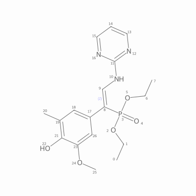 CCOP(=O)(OCC)/C(=C\Nc1ncccn1)c1cc(C)c(O)c(OC)c1